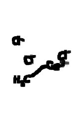 [CH3][Ge+3].[Cl-].[Cl-].[Cl-]